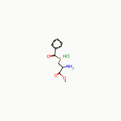 COC(=O)C(N)CSC(=O)c1ccccc1.Cl